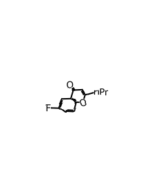 CCCc1cc(=O)c2cc(F)ccc2o1